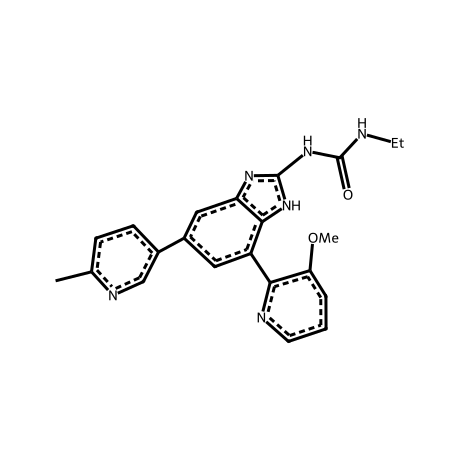 CCNC(=O)Nc1nc2cc(-c3ccc(C)nc3)cc(-c3ncccc3OC)c2[nH]1